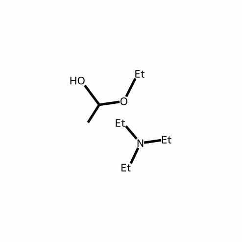 CCN(CC)CC.CCOC(C)O